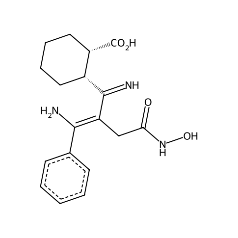 N=C(/C(CC(=O)NO)=C(\N)c1ccccc1)[C@@H]1CCCC[C@@H]1C(=O)O